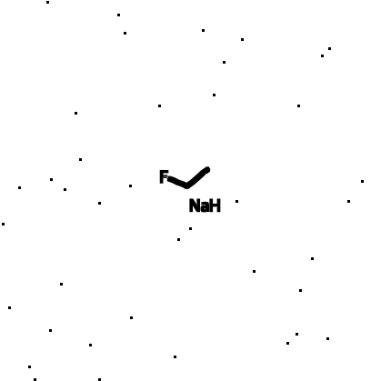 CCF.[NaH]